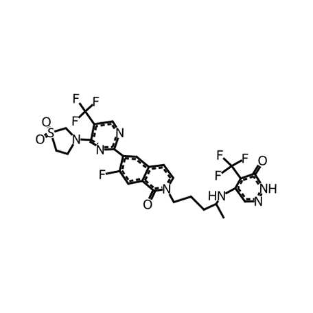 CC(CCCn1ccc2cc(-c3ncc(C(F)(F)F)c(N4CCS(=O)(=O)C4)n3)c(F)cc2c1=O)Nc1cn[nH]c(=O)c1C(F)(F)F